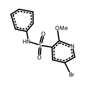 COc1ncc(Br)cc1S(=O)(=O)Nc1ccccc1